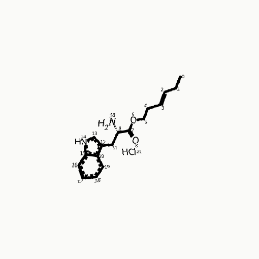 CCC=CCCOC(=O)[C@@H](N)Cc1c[nH]c2ccccc12.Cl